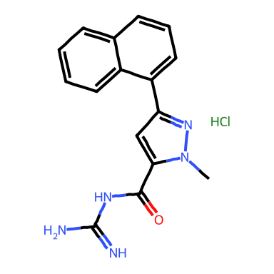 Cl.Cn1nc(-c2cccc3ccccc23)cc1C(=O)NC(=N)N